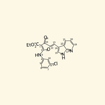 CCOC(=O)C1=C(Nc2cccc(Cl)c2)OC(=Cc2c[nH]c3ncccc23)C1=O